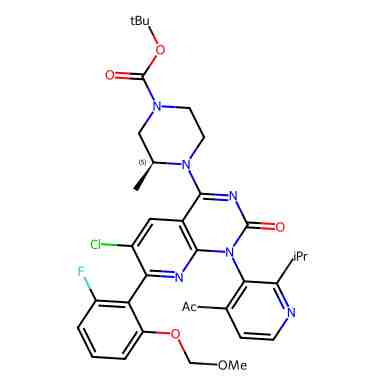 COCOc1cccc(F)c1-c1nc2c(cc1Cl)c(N1CCN(C(=O)OC(C)(C)C)C[C@@H]1C)nc(=O)n2-c1c(C(C)=O)ccnc1C(C)C